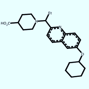 CCC(c1ccc2cc(OC3CCCCC3)ccc2n1)N1CCC(C(=O)O)CC1